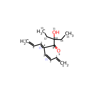 C=C/C=C\C(=C/C=C)C(=O)C(O)(CC)CC